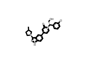 CC1CCN(c2n[nH]c3ccc(-c4ccn([C@H](CO)c5cccc(Cl)c5)c(=O)c4)cc23)C1